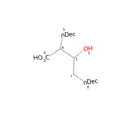 CCCCCCCCCCCC(O)C(CCCCCCCCCC)C(=O)O